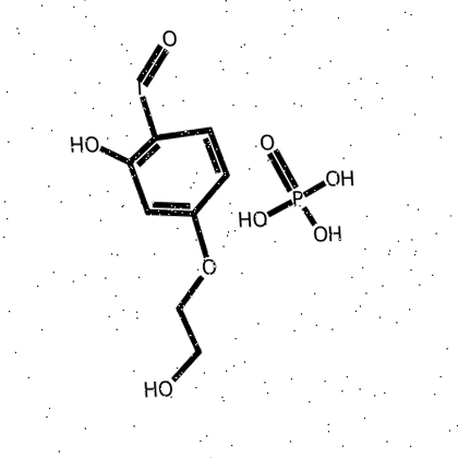 O=Ic1ccc(OCCO)cc1O.O=P(O)(O)O